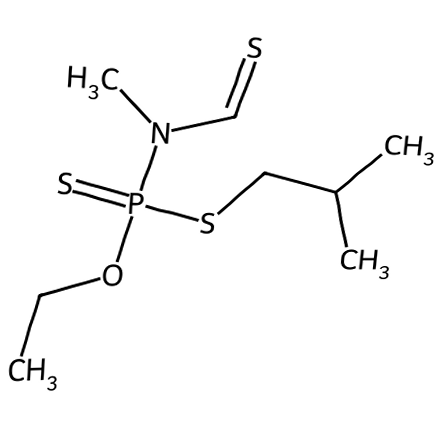 CCOP(=S)(SCC(C)C)N(C)C=S